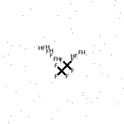 F.F.F.F.F.F.FC(F)(F)C(F)(F)F